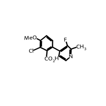 COc1ccc(-c2ccnc(C)c2F)c(C(=O)O)c1Cl